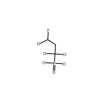 O=P(Cl)(Cl)C(Cl)(Cl)CC(F)Cl